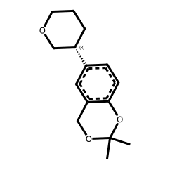 CC1(C)OCc2cc([C@H]3CCCOC3)ccc2O1